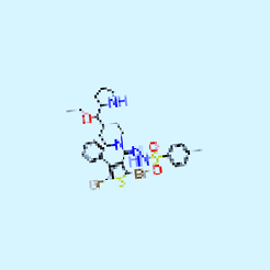 CCOC(C1CCN(C(=NNS(=O)(=O)c2ccc(C)cc2)c2c(Br)sc(Br)c2-c2ccccc2)CC1)C1CCCN1